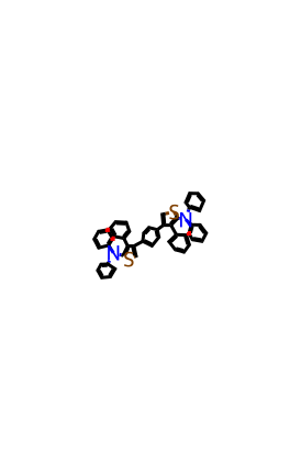 c1ccc(-c2c(-c3ccc(-c4csc(N(c5ccccc5)c5ccccc5)c4-c4ccccc4)cc3)csc2N(c2ccccc2)c2ccccc2)cc1